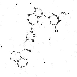 CCc1cc(-c2c[nH]c3ncc(-c4cnn(CC(=O)N5CCCc6ccccc65)c4)cc23)nc(N)n1